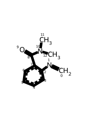 C=Nc1ccccc1C(=O)N(C)C